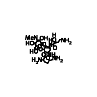 CN[C@@H]1C(O)[C@@H](O[C@@H]2C(O)C(O[C@H]3OC(CN)CCC3N)[C@@H](N)C[C@H]2NC(=O)[C@@H](O)CCN)OC(CO)[C@@H]1O